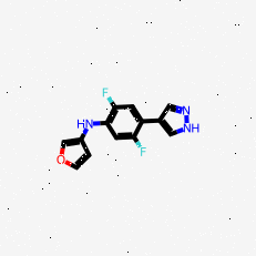 Fc1cc(-c2cn[nH]c2)c(F)cc1Nc1ccoc1